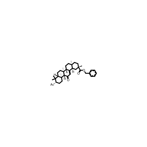 CC(=O)[C@H]1CC[C@]2(C)[C@H]3C(=O)C=C4[C@@H]5C[C@@](C)(C(=O)OCc6ccccc6)CC[C@]5(C)CC[C@@]4(C)[C@]3(C)CC[C@H]2C1(C)C